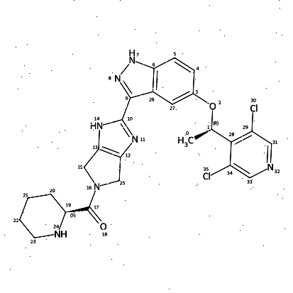 C[C@@H](Oc1ccc2[nH]nc(-c3nc4c([nH]3)CN(C(=O)[C@@H]3CCCCN3)C4)c2c1)c1c(Cl)cncc1Cl